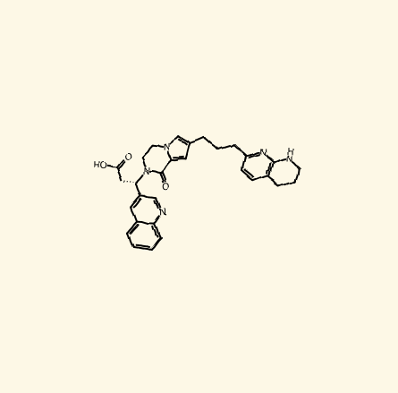 O=C(O)C[C@@H](c1cnc2ccccc2c1)N1CCn2cc(CCCc3ccc4c(n3)NCCC4)cc2C1=O